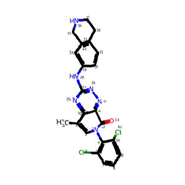 Cc1cn(-c2c(Cl)cccc2Cl)c(=O)c2nnc(Nc3ccc4c(c3)CNCC4)nc12